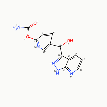 NC(=O)Oc1ccc(C(O)c2n[nH]c3ncccc23)cn1